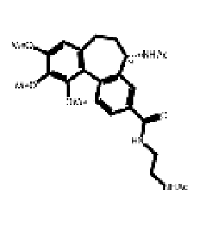 COc1cc2c(c(OC)c1OC)-c1ccc(C(=O)NCCNC(C)=O)cc1[C@@H](NC(C)=O)CC2